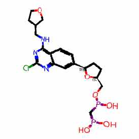 OP(O)CP(O)OC[C@@H]1CC[C@H](c2ccc3c(NCC4CCOC4)nc(Cl)nc3c2)O1